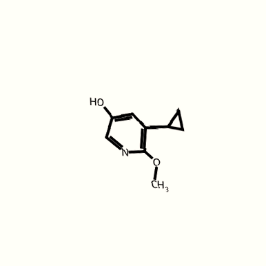 COc1ncc(O)cc1C1CC1